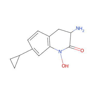 NC1Cc2ccc(C3CC3)cc2N(O)C1=O